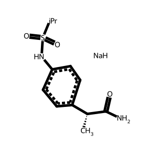 CC(C)S(=O)(=O)Nc1ccc([C@@H](C)C(N)=O)cc1.[NaH]